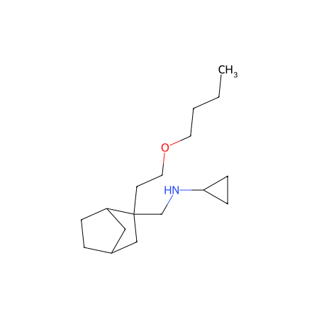 CCCCOCCC1(CNC2CC2)CC2CCC1C2